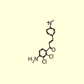 CN(C)c1ccc(C=CC(=O)c2ccc(N)c(Cl)c2Cl)cc1